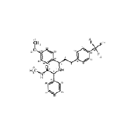 CNC(=O)C(N[C@H](CCc1ccc(C(F)(F)F)cc1)c1ccc(OC)cc1)c1ccccc1